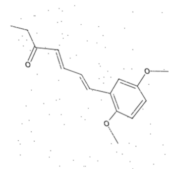 CCC(=O)/C=C/C=C/c1cc(OC)ccc1OC